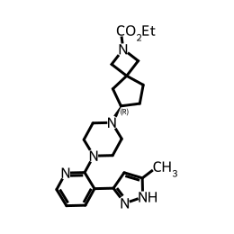 CCOC(=O)N1CC2(CC[C@@H](N3CCN(c4ncccc4-c4cc(C)[nH]n4)CC3)C2)C1